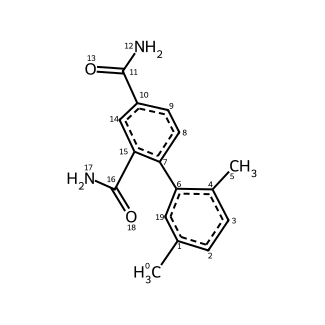 Cc1ccc(C)c(-c2ccc(C(N)=O)cc2C(N)=O)c1